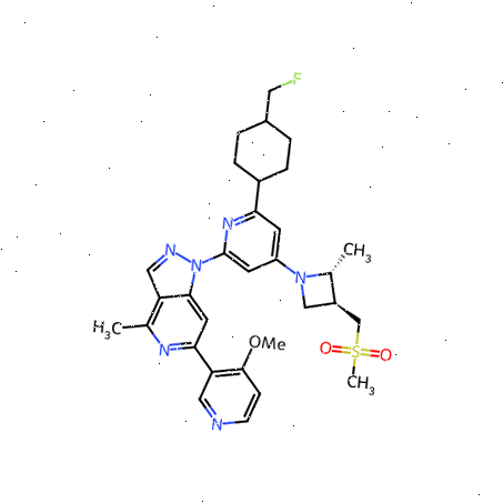 COc1ccncc1-c1cc2c(cnn2-c2cc(N3C[C@H](CS(C)(=O)=O)[C@H]3C)cc(C3CCC(CF)CC3)n2)c(C)n1